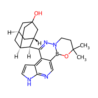 CC1(C)CCN2N=C([C@@H]3[C@@H]4C[C@H]5C[C@H]3CC(O)(C5)C4)c3c(cnc4[nH]ccc34)B2O1